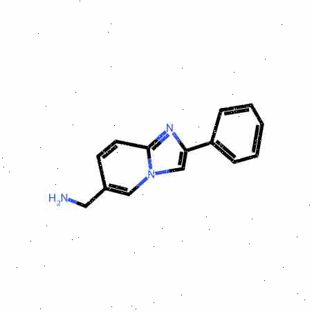 NCc1ccc2nc(-c3ccccc3)cn2c1